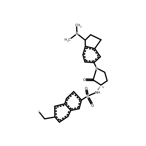 CN(C)C1CCc2cc(N3CC[C@H](NS(=O)(=O)c4ccc5cc(CI)ccc5c4)C3=O)ccc21